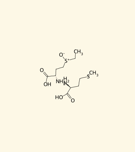 CC[S+]([O-])CC[C@H](N)C(=O)O.CSCC[C@H](N)C(=O)O